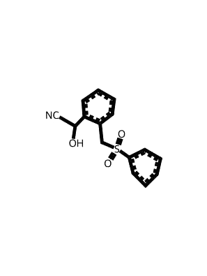 N#CC(O)c1ccccc1CS(=O)(=O)c1ccccc1